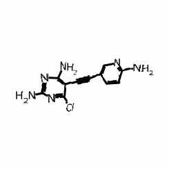 Nc1ccc(C#Cc2c(N)nc(N)nc2Cl)cn1